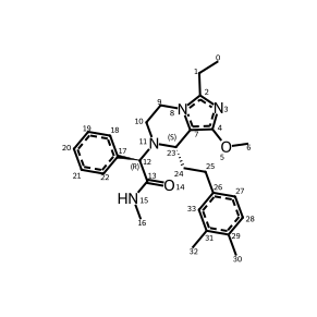 CCc1nc(OC)c2n1CCN([C@@H](C(=O)NC)c1ccccc1)[C@H]2CCc1ccc(C)c(C)c1